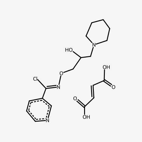 O=C(O)C=CC(=O)O.OC(CON=C(Cl)c1cccnc1)CN1CCCCC1